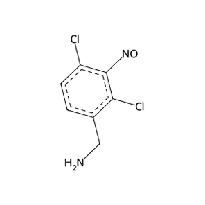 NCc1ccc(Cl)c(N=O)c1Cl